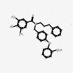 Cc1cc(C(=O)N(CCCc2ccccc2)Cc2ccc(Oc3ccccc3C(=O)O)cc2)cc(C)c1O